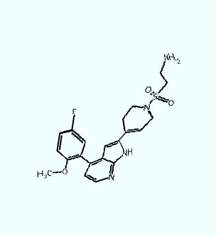 COc1ccc(F)cc1-c1ccnc2[nH]c(C3=CCN(S(=O)(=O)CCN)CC3)cc12